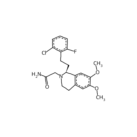 COc1cc2c(cc1OC)[C@H](CCc1c(F)cccc1Cl)N(CC(N)=O)CC2